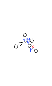 C1=CCC(c2ccc(C3=CC(N4C5=C(C=CCC5)C5C6=C(C=CC54)NC(c4ccccc4)O6)NC(c4ccccc4)=N3)cc2)C=C1